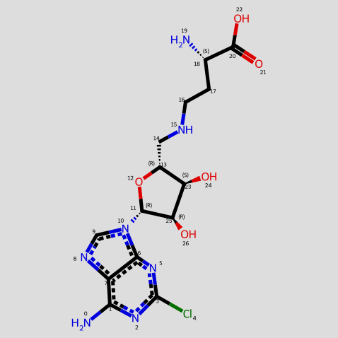 Nc1nc(Cl)nc2c1ncn2[C@@H]1O[C@H](CNCC[C@H](N)C(=O)O)[C@@H](O)[C@H]1O